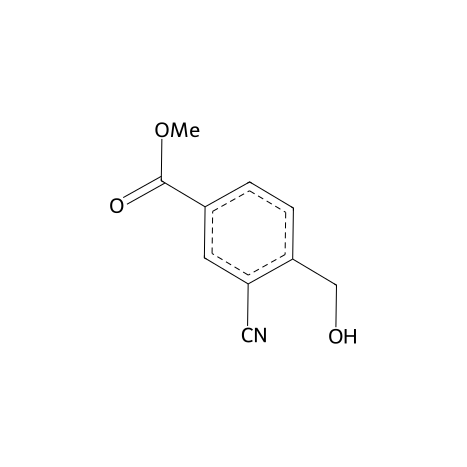 COC(=O)c1ccc(CO)c(C#N)c1